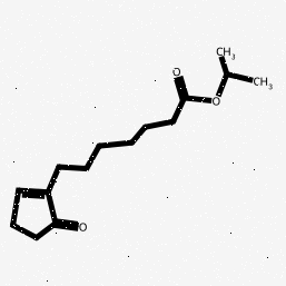 CC(C)OC(=O)CCCCCCC1=CCCC1=O